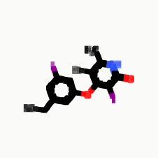 CCc1c(C)[nH]c(=O)c(I)c1Oc1cc(I)cc(CC#N)c1